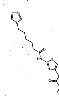 COC(=O)Cc1csc(NC(=O)CCCCCn2ccnc2)n1